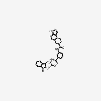 NC(=O)[C@H](Cc1c[nH]c2ccccc12)NC(=O)c1cccc(NC(=O)N2CCc3c(cnc4[nH]ncc34)C2)c1